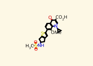 COc1c(-c2cc3c(s2)CC(NS(C)(=O)=O)C3)ccc2c(=O)c(C(=O)O)cn(C3CC3)c12